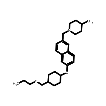 CCCOCC1CCC(Oc2ccc3cc(CN4CCC(C)CC4)ccc3c2)CC1